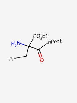 CCCCCC(=O)C(N)(CC(C)C)C(=O)OCC